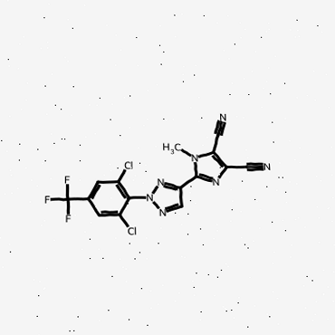 Cn1c(-c2cnn(-c3c(Cl)cc(C(F)(F)F)cc3Cl)n2)nc(C#N)c1C#N